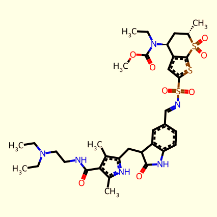 CCN(CC)CCNC(=O)c1c(C)[nH]c(CC2C(=O)Nc3ccc(/C=N/S(=O)(=O)c4cc5c(s4)S(=O)(=O)[C@@H](C)C[C@@H]5N(CC)C(=O)OC)cc32)c1C